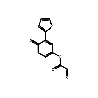 O=C(C=S)OC1=CCC(=S)C(c2cccs2)=C1